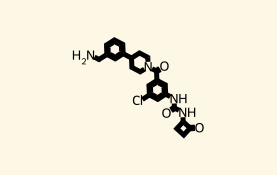 NCc1cccc(C2CCN(C(=O)c3cc(Cl)cc(NC(=O)NC4CCC4=O)c3)CC2)c1